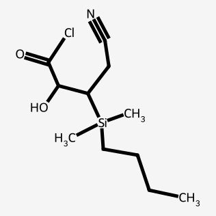 CCCC[Si](C)(C)C(CC#N)C(O)C(=O)Cl